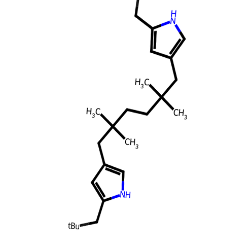 CC(C)(C)Cc1cc(CC(C)(C)CCC(C)(C)Cc2c[nH]c(CC(C)(C)C)c2)c[nH]1